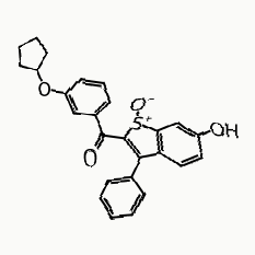 O=C(c1cccc(OC2CCCC2)c1)c1c(-c2ccccc2)c2ccc(O)cc2[s+]1[O-]